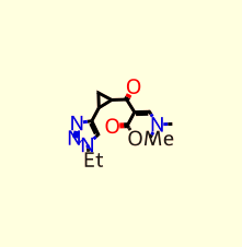 CCn1cc(C2CC2C(=O)C(=CN(C)C)C(=O)OC)nn1